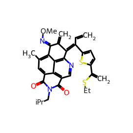 C=C/C(=C1\C(=C)/C(=N\OC)c2c(C)cc3c4c(cnc1c24)C(=O)N(CC(C)C)C3=O)c1ccc(C(=C)SCC)s1